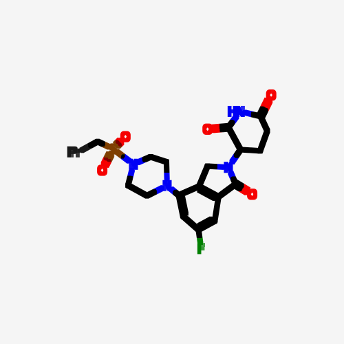 CC(C)CS(=O)(=O)N1CCN(c2cc(F)cc3c2CN(C2CCC(=O)NC2=O)C3=O)CC1